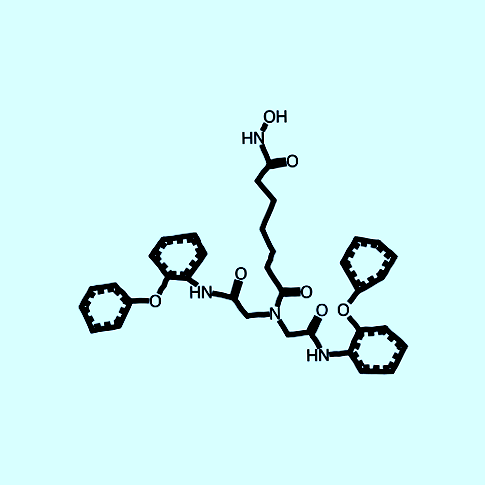 O=C(CCCCCC(=O)N(CC(=O)Nc1ccccc1Oc1ccccc1)CC(=O)Nc1ccccc1Oc1ccccc1)NO